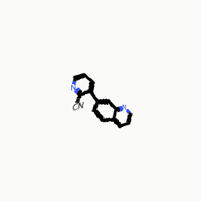 N#Cc1ncccc1-c1ccc2cccnc2c1